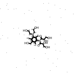 O=C(C(O)CO)N(C(=O)C(O)CO)c1c(I)c(CO)c(I)c(N(CCO)CCO)c1I